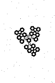 c1ccc(N(c2cc3c4c(c2)N(c2ccccc2)c2c(ccc5c2-c2ccccc2C52c5ccccc5-c5ccccc52)B4c2ccc4c(c2N3c2ccccc2)-c2ccccc2C42c3ccccc3-c3ccccc32)c2cccc3c2-c2ccccc2C32c3ccccc3-c3ccccc32)cc1